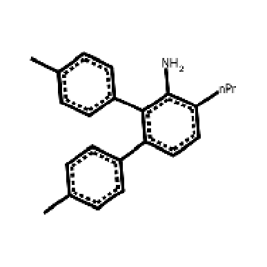 CCCc1ccc(-c2ccc(C)cc2)c(-c2ccc(C)cc2)c1N